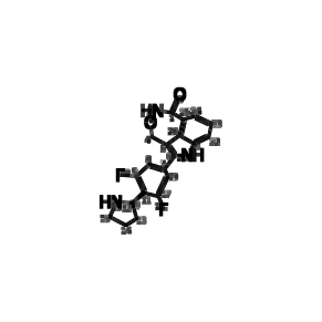 O=C1NOCc2c(-c3cc(F)c([C@H]4CCCN4)c(F)c3)[nH]c3cccc1c23